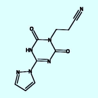 N#CCCn1c(=O)nc(-n2cccn2)[nH]c1=O